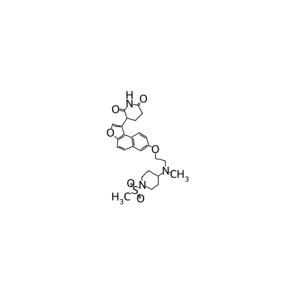 CN(CCOc1ccc2c(ccc3occ(C4CCC(=O)NC4=O)c32)c1)C1CCN(S(C)(=O)=O)CC1